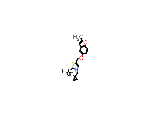 Cc1cc2cc(OCC3=CN(CC4(C#N)CC4)C(C)S3)ccc2o1